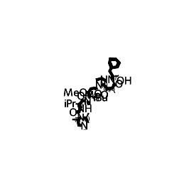 CC[C@H](C)[C@@H]([C@@H](CC(=O)N1CCC[C@H]1[C@H](OC)[C@@H](C)C(=O)N[C@H](CO)Cc1ccccc1)OC)N(C)C(=O)[C@@H](NC(=O)N1[C@H](C)CN(C)C[C@@H]1C)C(C)C